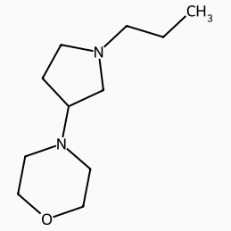 CCCN1CCC(N2CCOCC2)C1